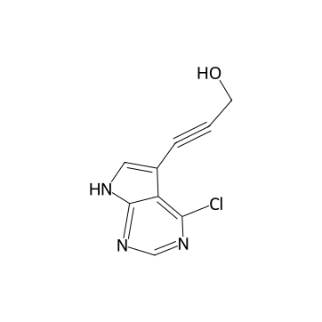 OCC#Cc1c[nH]c2ncnc(Cl)c12